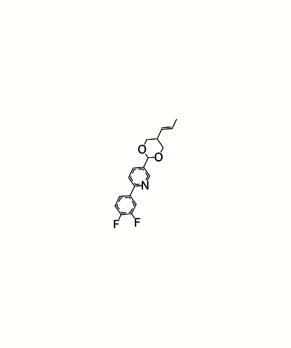 C/C=C/C1COC(c2ccc(-c3ccc(F)c(F)c3)nc2)OC1